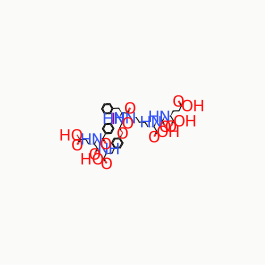 O=C(O)CC[C@H](NC(=O)N[C@@H](CCCCNC(=O)[C@H](Cc1ccccc1)NC(=O)COc1ccc(C[C@H](NC(=O)[C@H](CCC(=O)O)NC(=O)c2ccc(I)cc2)C(=O)O)cc1)C(=O)O)C(=O)O